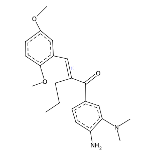 CCC/C(=C\c1cc(OC)ccc1OC)C(=O)c1ccc(N)c(N(C)C)c1